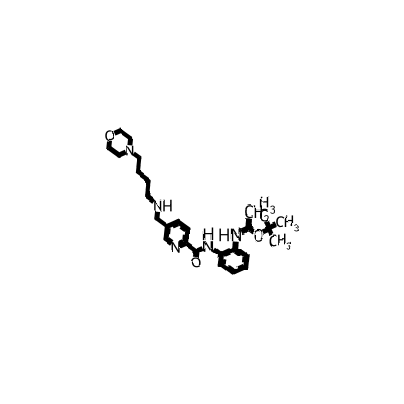 C=C(Nc1ccccc1NC(=O)c1ccc(CNCCCCN2CCOCC2)cn1)OC(C)(C)C